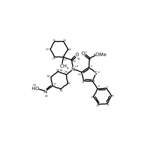 COC(=O)c1sc(-c2ccccc2)cc1N(C(=O)C1(C)CCCCC1)C1CCC(=NO)CC1